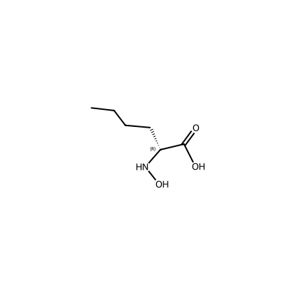 CCCC[C@@H](NO)C(=O)O